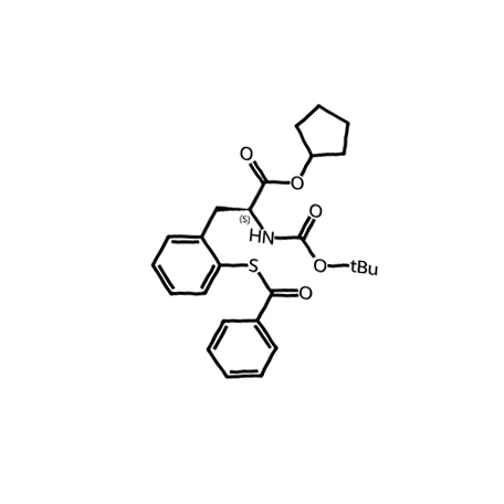 CC(C)(C)OC(=O)N[C@@H](Cc1ccccc1SC(=O)c1ccccc1)C(=O)OC1CCCC1